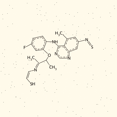 C/C(=N\C=C/S)C(C)Oc1cc(F)ccc1Nc1ncnc2cc(N=S)cc(C)c12